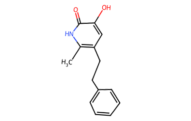 Cc1[nH]c(=O)c(O)cc1CCc1ccccc1